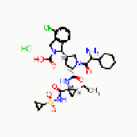 CC[C@@H]1C[C@]1(NC(=O)[C@@H]1C[C@@H](C2c3cccc(Cl)c3CN2C(=O)O)CN1C(=O)C(N)C1CCCCC1)C(=O)NS(=O)(=O)C1CC1.Cl